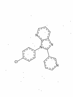 Clc1ccc(-n2c(-c3cccnc3)nc3cccnc32)cc1